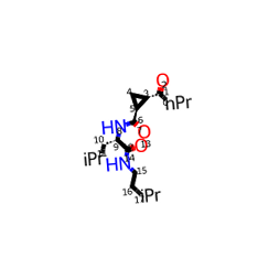 CCCC(=O)[C@H]1C[C@@H]1C(=O)N[C@@H](CC(C)C)C(=O)NCCC(C)C